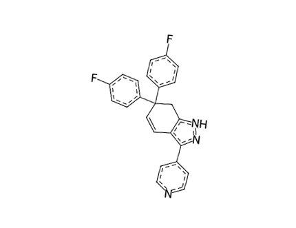 Fc1ccc(C2(c3ccc(F)cc3)C=Cc3c(-c4ccncc4)n[nH]c3C2)cc1